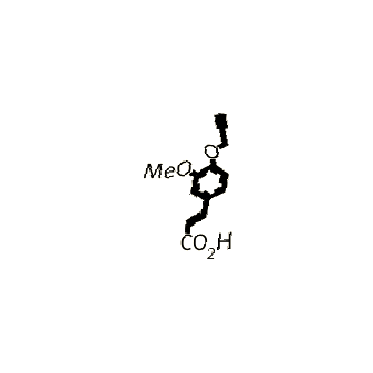 C#CCOc1ccc(C=CC(=O)O)cc1OC